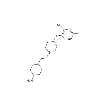 N#Cc1cc(F)ccc1OC1CCN(CCC2CCC(N)CC2)CC1